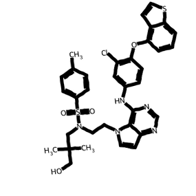 Cc1ccc(S(=O)(=O)N(CCn2ccc3ncnc(Nc4ccc(Oc5cccc6sccc56)c(Cl)c4)c32)CC(C)(C)CO)cc1